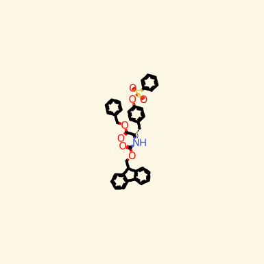 O=C(N[C@@H](Cc1ccc(OS(=O)(=O)c2ccccc2)cc1)C(=O)OCc1ccccc1)OCC1c2ccccc2-c2ccccc21